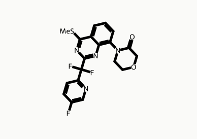 CSc1nc(C(F)(F)c2ccc(F)cn2)nc2c(N3CCOCC3=O)cccc12